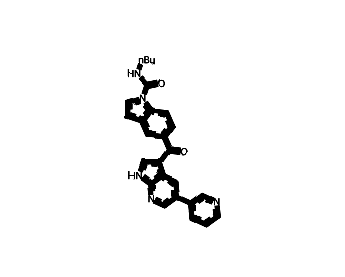 CCCCNC(=O)n1ccc2cc(C(=O)c3c[nH]c4ncc(-c5cccnc5)cc34)ccc21